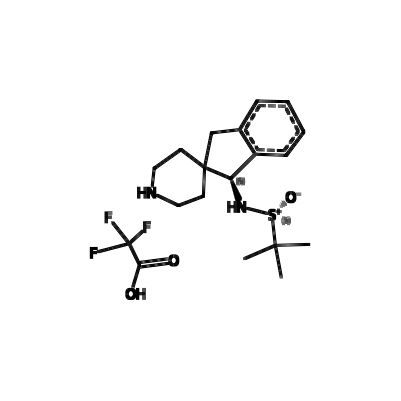 CC(C)(C)[S@@+]([O-])N[C@@H]1c2ccccc2CC12CCNCC2.O=C(O)C(F)(F)F